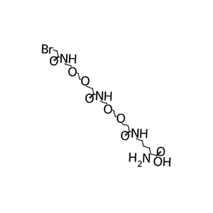 NC(CCCCNC(=O)CCOCCOCCNC(=O)CCOCCOCCNC(=O)CBr)C(=O)O